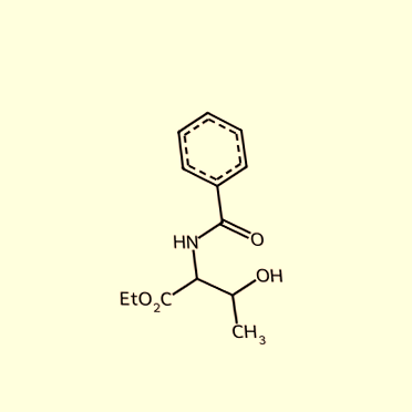 CCOC(=O)C(NC(=O)c1ccccc1)C(C)O